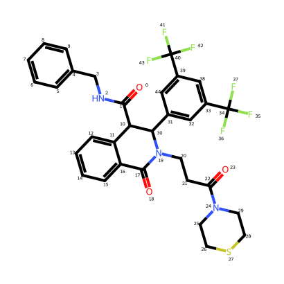 O=C(NCc1ccccc1)C1c2ccccc2C(=O)N(CCC(=O)N2CCSCC2)C1c1cc(C(F)(F)F)cc(C(F)(F)F)c1